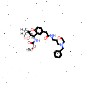 CC(C)(C)OC(=O)N[C@@H]1c2cc(CC(=O)NCC3CN(Cc4ccccc4)CCO3)ccc2OC(C)(C)[C@H]1O